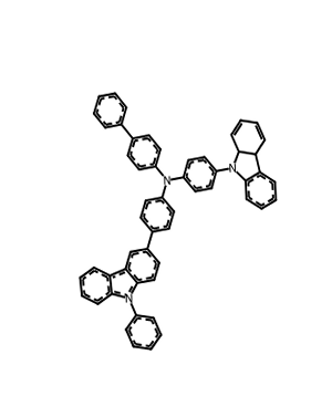 C1=CC2c3ccccc3N(c3ccc(N(c4ccc(-c5ccccc5)cc4)c4ccc(-c5ccc6c(c5)c5ccccc5n6-c5ccccc5)cc4)cc3)C2C=C1